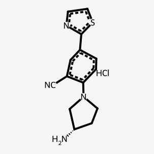 Cl.N#Cc1cc(-c2nccs2)ccc1N1CC[C@H](N)C1